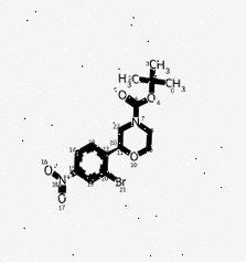 CC(C)(C)OC(=O)N1CCO[C@@H](c2ccc([N+](=O)[O-])cc2Br)C1